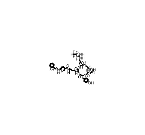 N=C(NCCC[C@@H]1NC(=O)[C@H](CCCCNC(=O)c2ccc(N/N=C/c3ccccc3S)nc2)NC(=O)[C@@H](Cc2ccc(O)cc2)NC(=O)[C@H](CC(=O)O)NC(=O)CNC1=O)NC(=O)C(F)(F)F